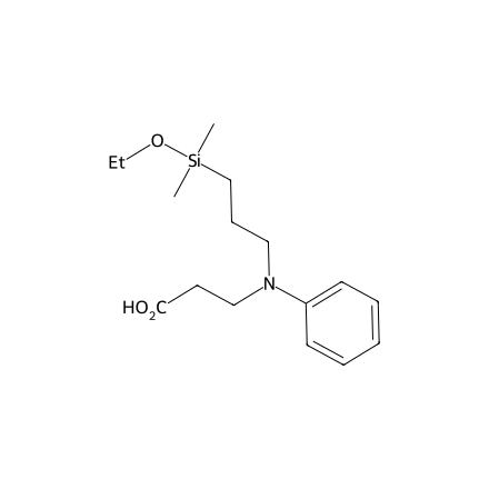 CCO[Si](C)(C)CCCN(CCC(=O)O)c1ccccc1